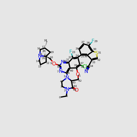 CCN1CCN2c3nc(OC[C@@]45CCCN4C[C@H](C)C5)nc4c(F)c(-c5ccc(F)c6scc(C#N)c56)c(Cl)c(c34)OCC2C1=O